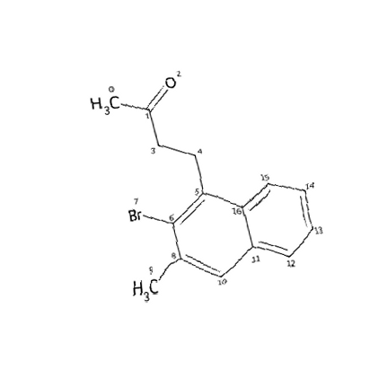 CC(=O)CCc1c(Br)c(C)cc2ccccc12